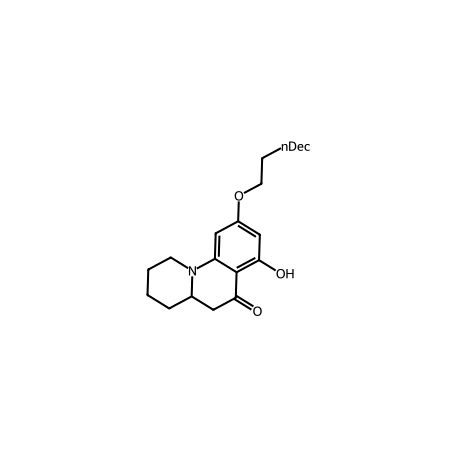 CCCCCCCCCCCCOc1cc(O)c2c(c1)N1CCCCC1CC2=O